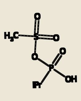 CC(C)P(=O)(O)OS(C)(=O)=O